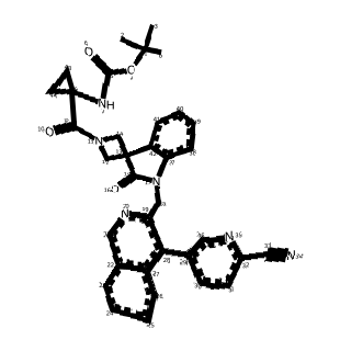 CC(C)(C)OC(=O)NC1(C(=O)N2CC3(C2)C(=O)N(Cc2ncc4ccccc4c2-c2ccc(C#N)nc2)c2ccccc23)CC1